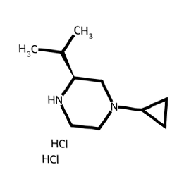 CC(C)[C@H]1CN(C2CC2)CCN1.Cl.Cl